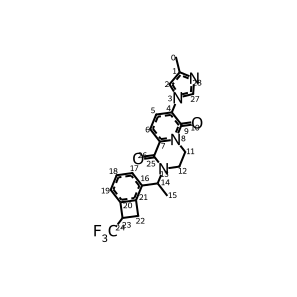 Cc1cn(-c2ccc3n(c2=O)CCN(C(C)c2cccc4c2CC4C(F)(F)F)C3=O)cn1